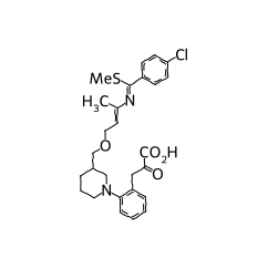 CS/C(=N\C(C)=C\COCC1CCCN(c2ccccc2CC(=O)C(=O)O)C1)c1ccc(Cl)cc1